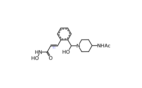 CC(=O)NC1CCN(C(O)c2ccccc2/C=C/C(=O)NO)CC1